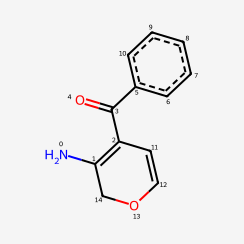 NC1=C(C(=O)c2ccccc2)C=COC1